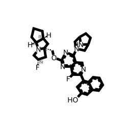 Oc1cc(-c2ncc3c(N4CC5CCC(C4)N5)nc(OC[C@]45C[C@H](F)CN4[C@H]4CCC[C@H]4C5)nc3c2F)c2ccccc2c1